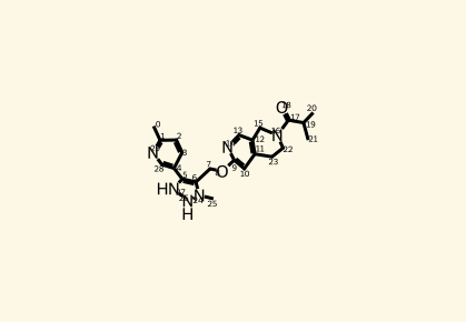 Cc1ccc(C2=C(COc3cc4c(cn3)CN(C(=O)C(C)C)CC4)N(C)NN2)cn1